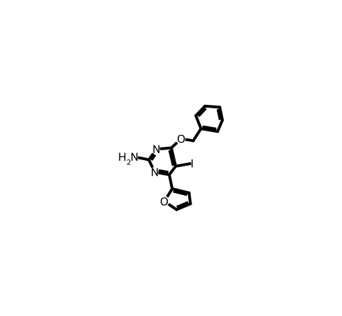 Nc1nc(OCc2ccccc2)c(I)c(-c2ccco2)n1